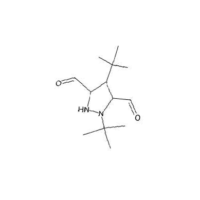 CC(C)(C)C1C(C=O)NN(C(C)(C)C)C1C=O